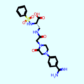 N=C(N)c1ccc(N2CCN(CC(=O)NC[C@H](NS(=O)(=O)c3ccccc3)C(=O)O)C(=O)C2)cc1